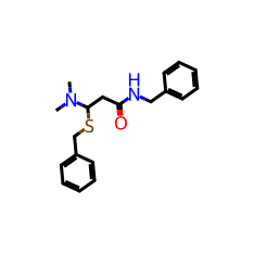 CN(C)C(CC(=O)NCc1ccccc1)SCc1ccccc1